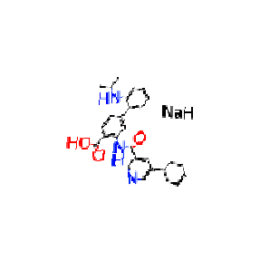 CC(C)Nc1ccccc1-c1ccc(C(=O)O)c(NC(=O)c2cncc(-c3ccccc3)c2)c1.[NaH]